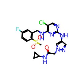 CS(=O)(=O)c1ccc(F)cc1CNc1nc(Nc2cnn(CC(=O)NC3CC3)c2)ncc1Cl